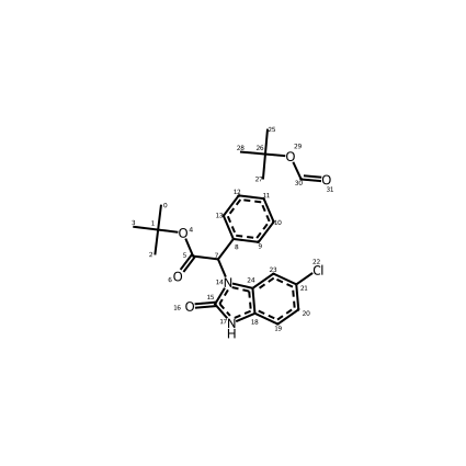 CC(C)(C)OC(=O)C(c1ccccc1)n1c(=O)[nH]c2ccc(Cl)cc21.CC(C)(C)OC=O